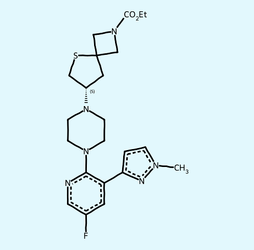 CCOC(=O)N1CC2(C[C@H](N3CCN(c4ncc(F)cc4-c4ccn(C)n4)CC3)CS2)C1